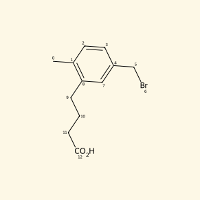 Cc1ccc(CBr)cc1CCCC(=O)O